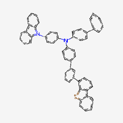 c1ccc(-c2ccc(N(c3ccc(-c4cccc(-c5cccc6c5sc5ccccc56)c4)cc3)c3ccc(-n4c5ccccc5c5ccccc54)cc3)cc2)cc1